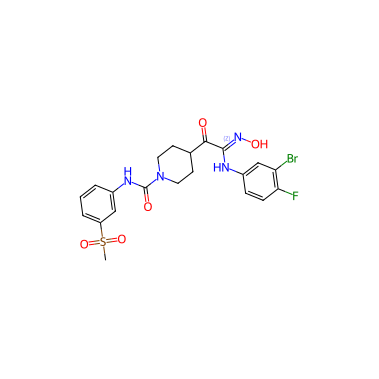 CS(=O)(=O)c1cccc(NC(=O)N2CCC(C(=O)/C(=N/O)Nc3ccc(F)c(Br)c3)CC2)c1